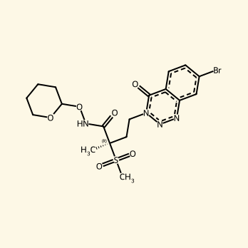 C[C@@](CCn1nnc2cc(Br)ccc2c1=O)(C(=O)NOC1CCCCO1)S(C)(=O)=O